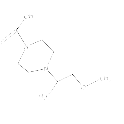 COCC(C)N1CCN(C(=O)O)CC1